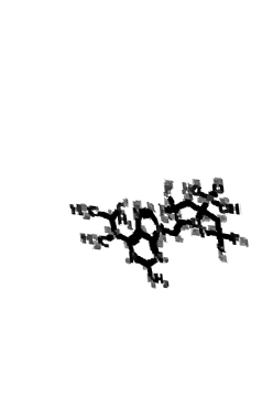 CC(C)N(C)c1nc(N)nc2c1ncn2CCOC(CC(F)(F)F)(CC(F)(F)F)P(=O)(O)O